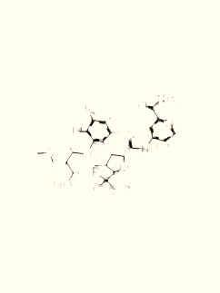 COC[C@@H](CO)COc1c([C@H]2[C@H](C(=O)Nc3ccnc(C(N)=O)c3)O[C@@](C)(C(F)(F)F)[C@H]2C)ccc(F)c1F